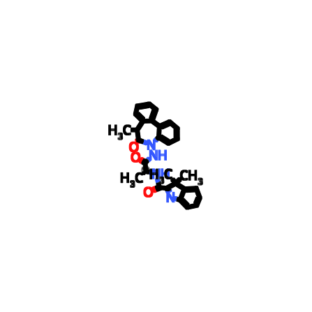 CC1C(=O)N(NC(=O)[C@H](C)NC(=O)C2=Nc3ccccc3C2(C)C)c2ccccc2-c2ccccc21